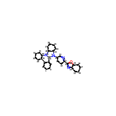 c1ccc2c(c1)B1N(c3ccc(-c4nc5ccccc5o4)nc3)c3ccccc3N1c1ccccc1-2